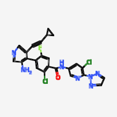 Nc1cncc(C#CC2CC2)c1-c1cc(Cl)c(C(=O)Nc2cnc(-n3nccn3)c(Cl)c2)cc1F